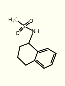 CS(=O)(=O)NC1CCCc2ccccc21